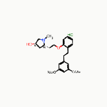 COc1cc(CCc2ccccc2OCC[C@@H]2C[C@@H](O)CN2C)cc(OC)c1.Cl